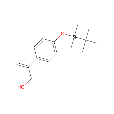 C=C(CO)c1ccc(O[Si](C)(C)C(C)(C)C)cc1